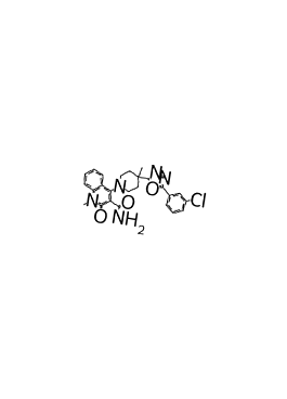 Cn1c(=O)c(C(N)=O)c(N2CCC(C)(c3nnc(-c4cccc(Cl)c4)o3)CC2)c2ccccc21